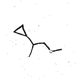 [CH2]C(COC)C1CC1